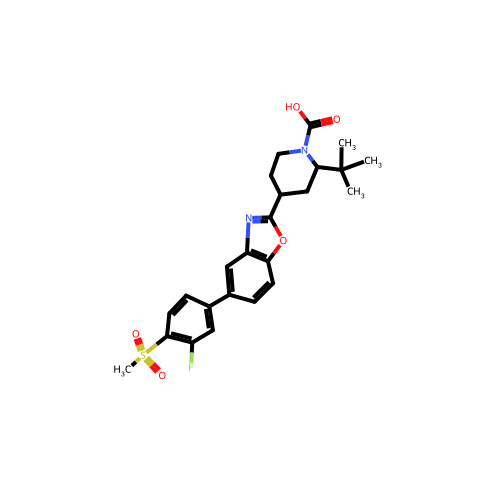 CC(C)(C)C1CC(c2nc3cc(-c4ccc(S(C)(=O)=O)c(F)c4)ccc3o2)CCN1C(=O)O